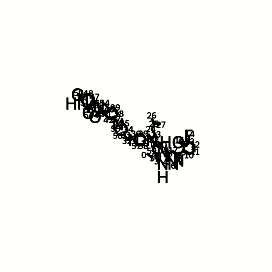 CC[C@@]12CNc3nnc(-c4cccc(F)c4O)cc3N1C[C@H](N(CCC(C)C)C1CCN(CC3CCN(c4ccc5c(c4)C(=O)N([C@H]4CCC(=O)NC4=O)C5)CC3)CC1)C2